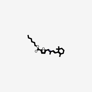 CCCCCCOC(=O)c1ccc(/C=C(\C)C=CC2=C(C)CCCC2(C)C)o1